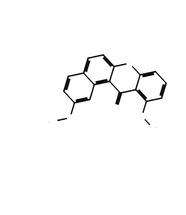 COc1ccc2ccc3oc4cccc(OC)c4c(=O)c3c2c1